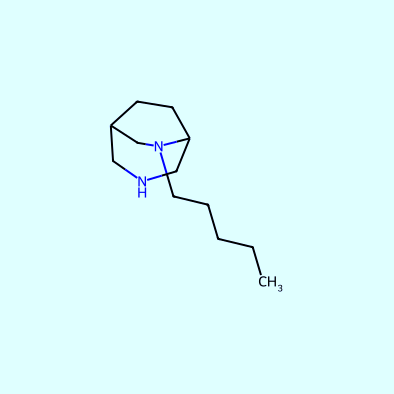 CCCCCN1CC2CCC1CNC2